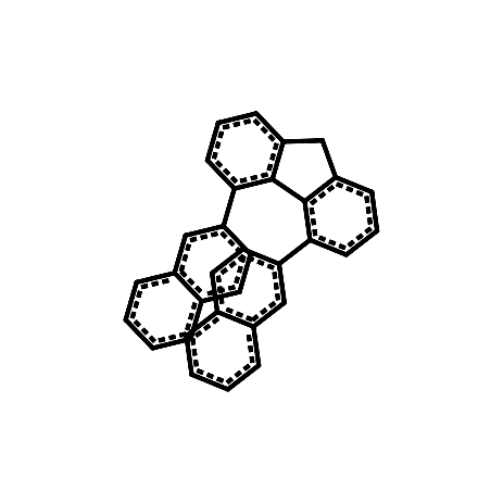 c1cc2c(c(-c3ccc4ccccc4c3)c1)-c1c(cccc1-c1ccc3ccccc3c1)C2